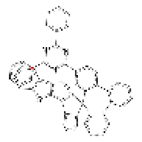 c1ccc(-c2nc(-c3ccccc3)nc(-c3ccc4c(c3)C3(c5ccccc5-c5ccccc5-4)c4ccccc4-c4c3ccc3c4sc4ccccc43)n2)cc1